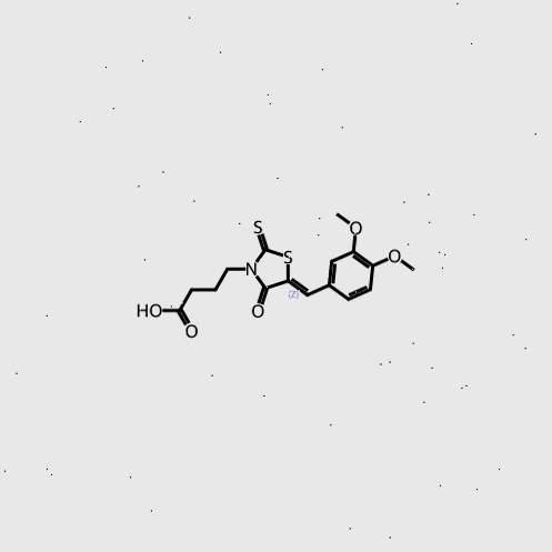 COc1ccc(/C=C2\SC(=S)N(CCCC(=O)O)C2=O)cc1OC